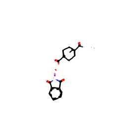 COC(=O)C12CCC(C(=O)OON3C(=O)c4ccccc4C3=O)(CC1)CC2